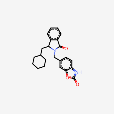 O=C1c2ccccc2C(CC2CCCCC2)N1Cc1ccc2[nH]c(=O)oc2c1